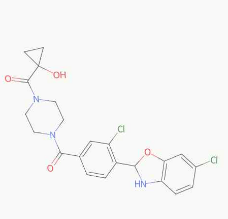 O=C(c1ccc(C2Nc3ccc(Cl)cc3O2)c(Cl)c1)N1CCN(C(=O)C2(O)CC2)CC1